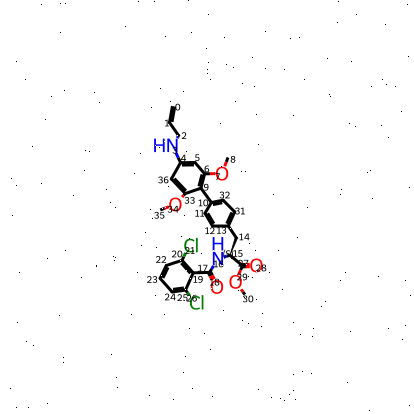 C=CCNc1cc(OC)c(-c2ccc(C[C@H](NC(=O)c3c(Cl)cccc3Cl)C(=O)OC)cc2)c(OC)c1